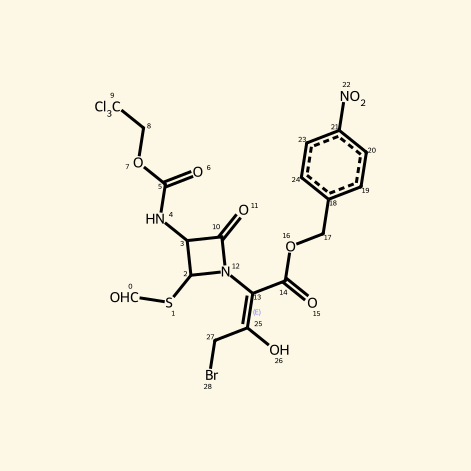 O=CSC1C(NC(=O)OCC(Cl)(Cl)Cl)C(=O)N1/C(C(=O)OCc1ccc([N+](=O)[O-])cc1)=C(/O)CBr